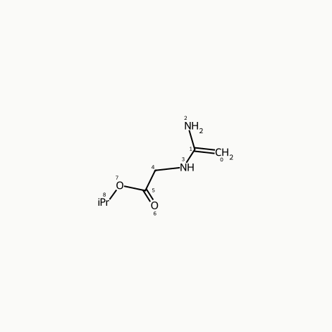 C=C(N)NCC(=O)OC(C)C